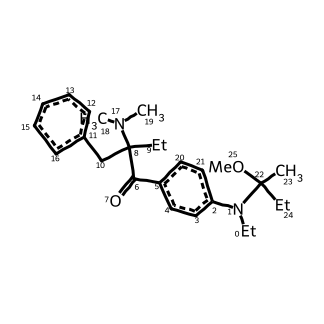 CCN(c1ccc(C(=O)C(CC)(Cc2ccccc2)N(C)C)cc1)C(C)(CC)OC